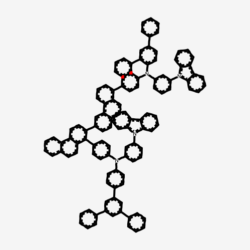 c1ccc(-c2cc(-c3ccccc3)cc(-c3ccc(N(c4ccc(-c5c(-c6ccc7ccc8c(-c9ccc(N(c%10cccc(-n%11c%12ccccc%12c%12ccccc%12%11)c%10)c%10ccc(-c%11ccccc%11)cc%10-c%10ccccc%10)cc9)cccc8c7c6)ccc6c5ccc5ccccc56)cc4)c4cccc(-n5c6ccccc6c6ccccc65)c4)cc3)c2)cc1